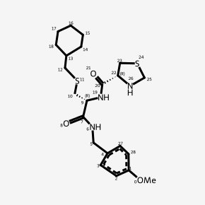 COc1ccc(CNC(=O)[C@H](CSCC2CCCCC2)NC(=O)[C@@H]2CSCN2)cc1